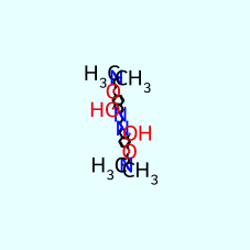 CN(C)CCOc1ccc(C=NCCN=Cc2ccc(OCCN(C)C)cc2O)c(O)c1